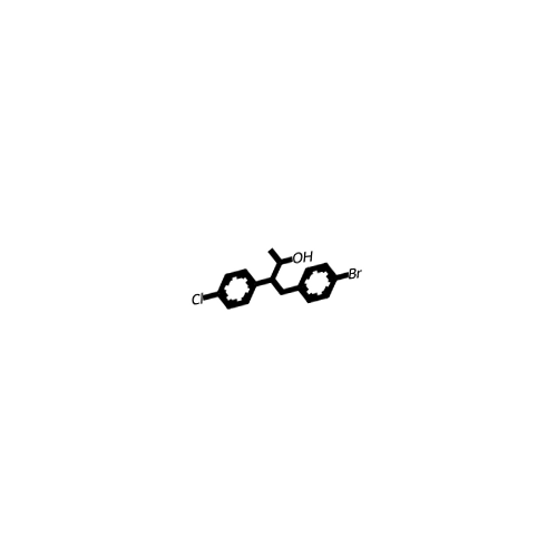 CC(O)C(Cc1ccc(Br)cc1)c1ccc(Cl)cc1